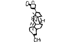 C[C@]12CCC(O)CC1CC[C@@H]1[C@@H]2CC[C@]2(C)[C@@H](C3=CC(=O)OC3)CC[C@]12O